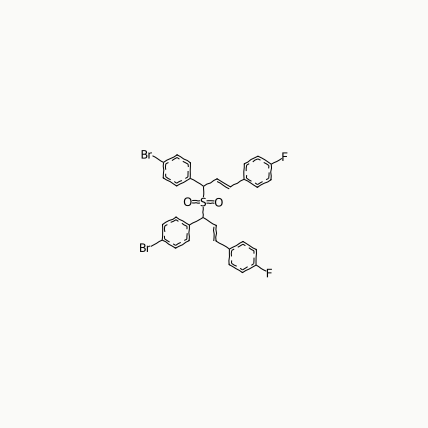 O=S(=O)(C(/C=C/c1ccc(F)cc1)c1ccc(Br)cc1)C(/C=C/c1ccc(F)cc1)c1ccc(Br)cc1